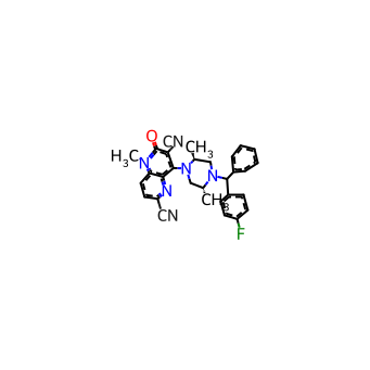 C[C@@H]1CN(c2c(C#N)c(=O)n(C)c3ccc(C#N)nc23)[C@@H](C)CN1C(c1ccccc1)c1ccc(F)cc1